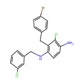 Nc1ccc(NCc2cccc(Cl)c2)c(Cc2ccc(Br)cc2)c1Cl